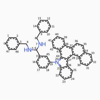 c1ccc(CNC(NCc2ccccc2)c2cccc(-n3c4ccccc4c4c5c6ccccc6ccc5c5ccccc5c43)c2)cc1